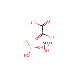 O=C(O)C(=O)O.O=S(=O)(O)O.OB(O)O